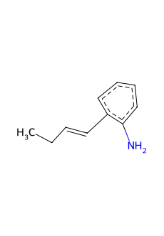 CCC=Cc1ccccc1N